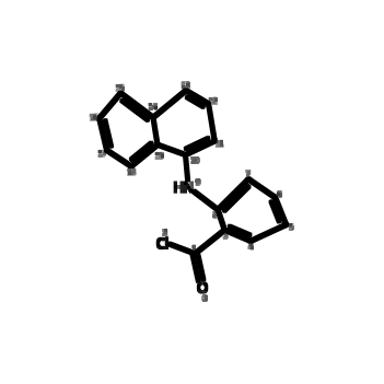 O=C(Cl)c1ccccc1Nc1cccc2ccccc12